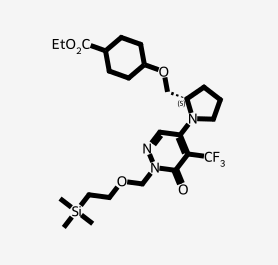 CCOC(=O)C1CCC(OC[C@@H]2CCCN2c2cnn(COCC[Si](C)(C)C)c(=O)c2C(F)(F)F)CC1